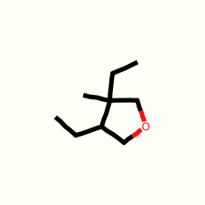 CCC1COCC1(C)CC